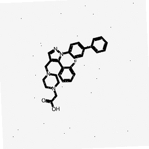 O=C(O)CN1CCN(Cc2cnn(-c3ccc(-c4ccccc4)cc3)c2-c2ccccc2F)CC1